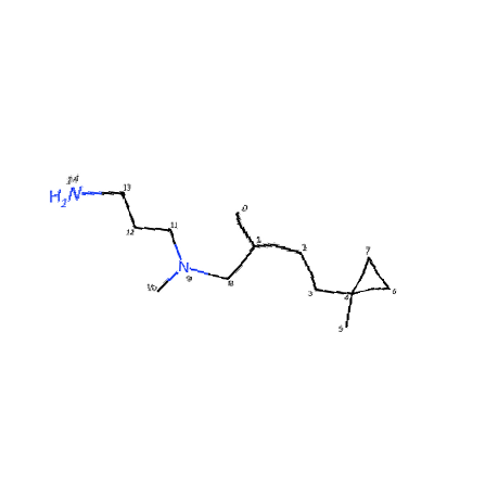 CC(CCC1(C)CC1)CN(C)CCCN